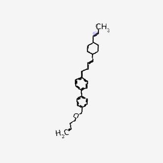 C=CCCOCc1ccc(-c2ccc(CCC=CC3CCC(/C=C/C)CC3)cc2)cc1